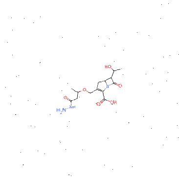 CC(CC(=O)NN)OCC1=C(C(=O)O)N2C(=O)C(C(C)O)C2C1